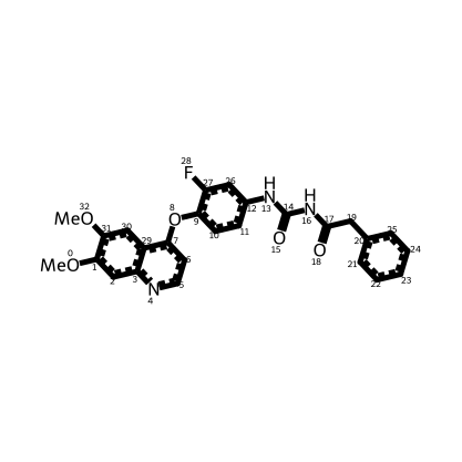 COc1cc2nccc(Oc3ccc(NC(=O)NC(=O)Cc4ccccc4)cc3F)c2cc1OC